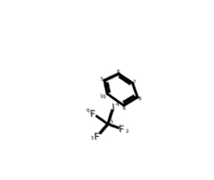 FC(F)(F)I.c1ccccc1